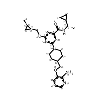 C[C@H](NC(=O)c1nc(OC[C@H]2C[C@H]2C)nc(N2CCC(COc3cncnc3N)CC2)n1)C1CC1